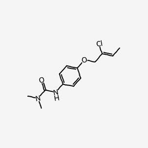 CC=C(Cl)COc1ccc(NC(=O)N(C)C)cc1